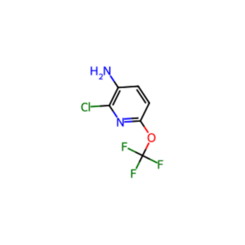 Nc1ccc(OC(F)(F)F)nc1Cl